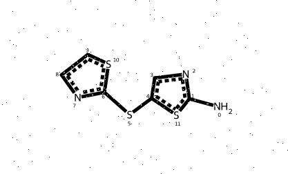 Nc1ncc(Sc2nccs2)s1